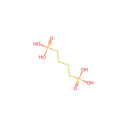 O=P(O)(O)SSSSP(=O)(O)O